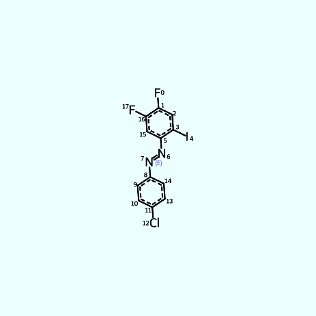 Fc1cc(I)c(/N=N/c2ccc(Cl)cc2)cc1F